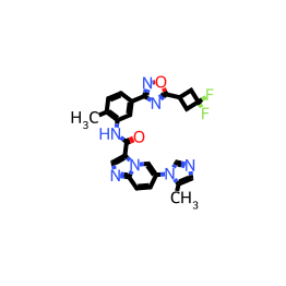 Cc1ccc(-c2noc(C3CC(F)(F)C3)n2)cc1NC(=O)c1cnc2ccc(-n3cncc3C)cn12